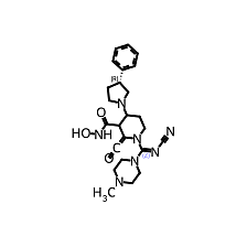 CN1CCN(/C(=N/C#N)N2CCC(N3CC[C@H](c4ccccc4)C3)C(C(=O)NO)C2=C=O)CC1